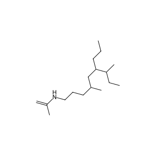 C=C(C)NCCCC(C)CC(CCC)C(C)CC